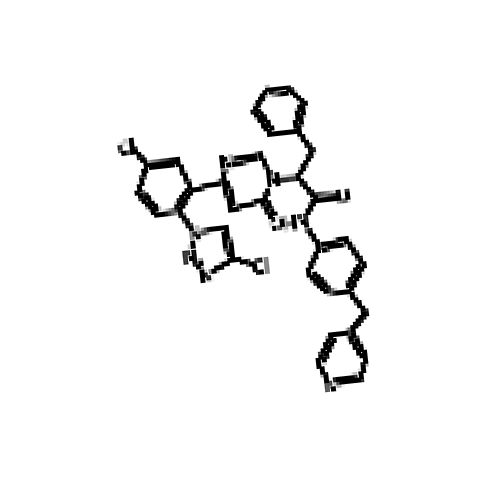 O=C(Nc1ccc(Cc2ccncc2)cc1)C(Cc1ccccc1)n1cnc(-c2cc(Cl)ccc2-n2cc(Cl)nn2)cc1=O